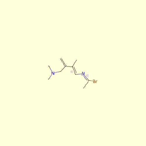 C=C(CN(C)C)/C(C)=C/N=C(\C)Br